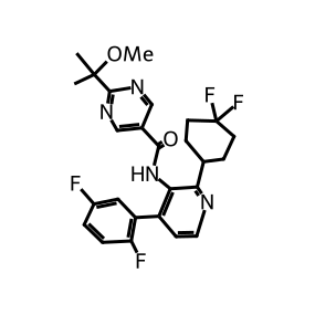 COC(C)(C)c1ncc(C(=O)Nc2c(-c3cc(F)ccc3F)ccnc2C2CCC(F)(F)CC2)cn1